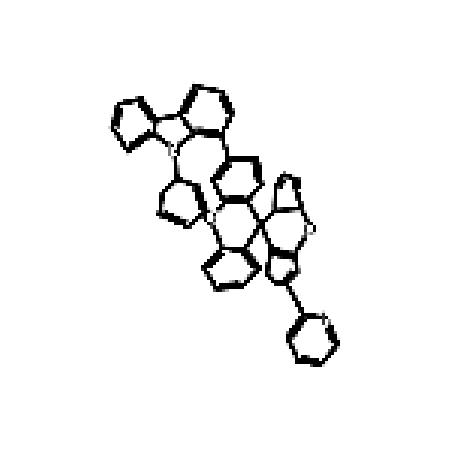 C1=CCC(n2c3ccccc3c3cccc(-c4ccc5c(c4)Oc4ccccc4C54C5=C(C=C(c6ccccn6)CC5)OC5C=CC=CC54)c32)C=C1